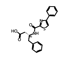 O=C(O)C[C@@H](Cc1ccccc1)NC(=O)c1nc(-c2ccccc2)cs1